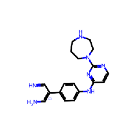 N=C/C(=C\N)c1ccc(Nc2ccnc(N3CCCNCC3)n2)cc1